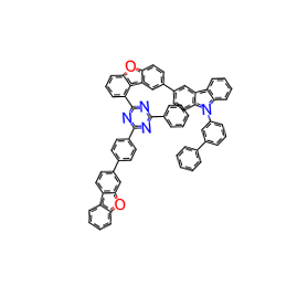 c1ccc(-c2cccc(-n3c4ccccc4c4cc(-c5ccc6oc7cccc(-c8nc(-c9ccccc9)nc(-c9ccc(-c%10ccc%11c(c%10)oc%10ccccc%10%11)cc9)n8)c7c6c5)ccc43)c2)cc1